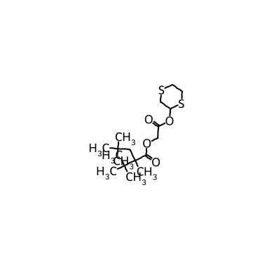 CC(C)(C)CC(C)(C(=O)OCC(=O)OC1CSCCS1)C(C)(C)C